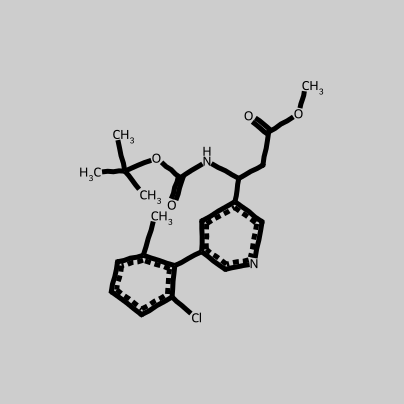 COC(=O)CC(NC(=O)OC(C)(C)C)c1cncc(-c2c(C)cccc2Cl)c1